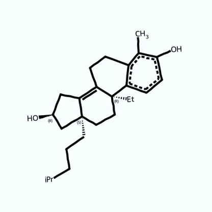 CC[C@]12CC[C@@]3(CCCC(C)C)C[C@@H](O)CC3=C1CCc1c2ccc(O)c1C